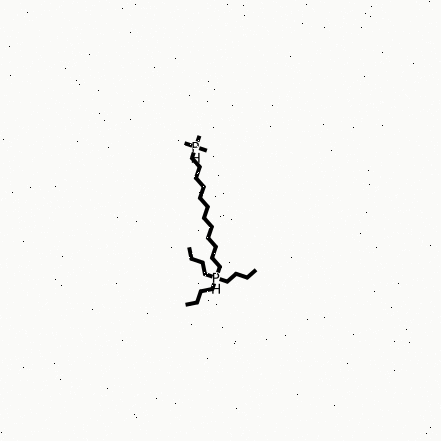 CCCC[PH](CCCC)(CCCC)CCCCCCCCCCCC[PH](C)(C)C